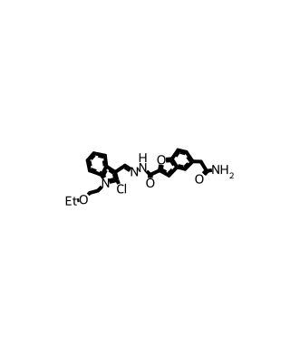 CCOCCn1c(Cl)c(C=NNC(=O)c2cc3cc(CC(N)=O)ccc3o2)c2ccccc21